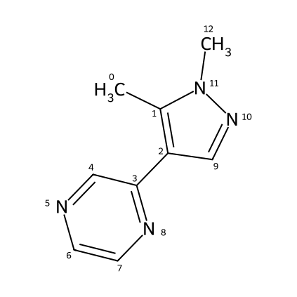 Cc1c(-c2cnccn2)cnn1C